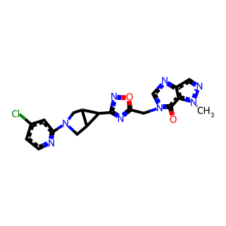 Cn1ncc2ncn(Cc3nc(C4C5CN(c6cc(Cl)ccn6)CC54)no3)c(=O)c21